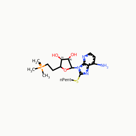 C=P(C)(C)CCC1OC(n2c(SCCCCC)nc3c(N)ccnc32)[C@H](O)[C@@H]1O